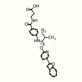 CC(C)[C@@H](COc1ccc(-c2cc3ccccc3o2)cn1)Nc1ccc(C(=O)NCCC(=O)O)cc1